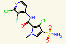 Cn1cc(S(N)(=O)=O)c(Cl)c1C(=O)Nc1ccnc(Cl)c1F